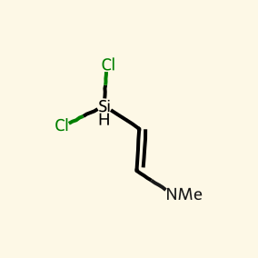 CNC=C[SiH](Cl)Cl